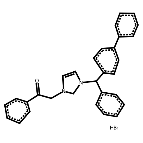 Br.O=C(CN1C=CN(C(c2ccccc2)c2ccc(-c3ccccc3)cc2)C1)c1ccccc1